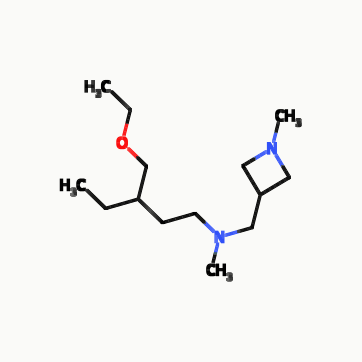 CCOCC(CC)CCN(C)CC1CN(C)C1